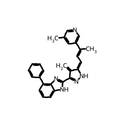 C=c1c(-c2nc3c(-c4ccccc4)cccc3[nH]2)n[nH]/c1=C/C=C(\C)c1cncc(C)c1